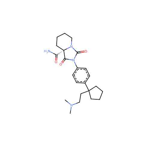 CN(C)CCC1(c2ccc(N3C(=O)N4CCC[CH][C@]4(C(N)=O)C3=O)cc2)CCCC1